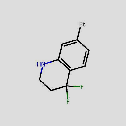 CCc1ccc2c(c1)NCCC2(F)F